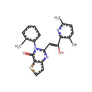 Cc1ccc(C#N)c(C(O)=Cc2nc3ccsc3c(=O)n2-c2ccccc2C)n1